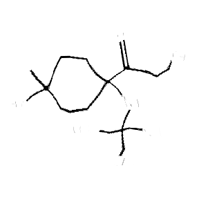 CCC(=O)C1(NC(C)(C)C)CCC(C)(F)CC1